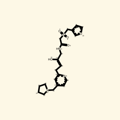 O=C(CS(=O)(=O)Cc1ccoc1)NCC(O)=CCc1cc(CN2CCCC2)ccn1